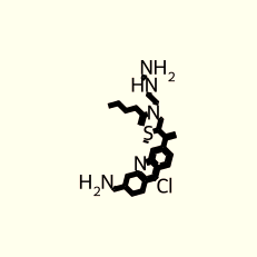 C=C(c1ccc2c(Cl)c3c(nc2c1)CC(CN)CC3)C(CN(CCNCN)C(=C)CCCC)SC